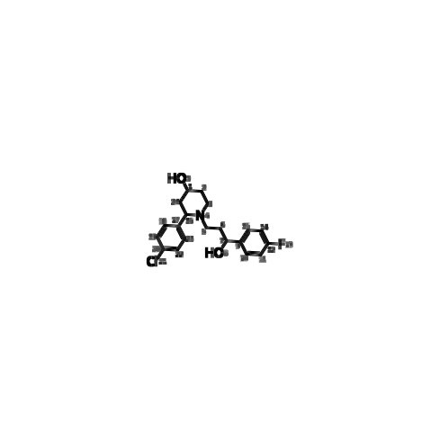 OC1CCN(CCC(O)c2ccc(F)cc2)C(c2ccc(Cl)cc2)C1